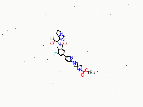 [Li][C](=O)C(c1ncn2c1CCC2)N1Cc2c(F)cc(-c3ccc(N4CC5(CN(C(=O)OC(C)(C)C)C5)C4)nc3)cc2C1=O